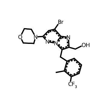 Cc1c(Cc2c(CO)nc3c(Br)cc(N4CCOCC4)nn23)cccc1C(F)(F)F